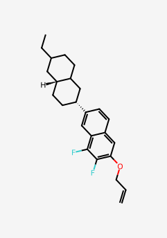 C=CCOc1cc2ccc([C@@H]3CC[C@@H]4CC(CC)CCC4C3)cc2c(F)c1F